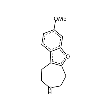 COc1ccc2c3c(oc2c1)CCNCC3